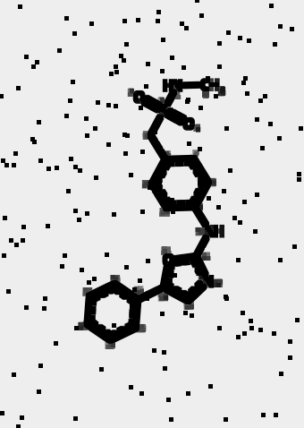 CNS(=O)(=O)Cc1ccc(Nc2ncc(-c3ccccc3)o2)cc1